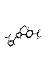 COC(=O)c1ccc2c(c1)OCCc1sc(-c3ncnn3C(C)C)nc1-2